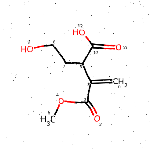 C=C(C(=O)OC)C(CCO)C(=O)O